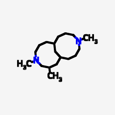 CC1CC2CCCN(C)CCCC(CCCN(C)C1)C2